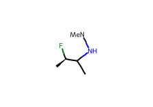 CNNC(C)[C@@H](C)F